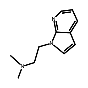 CN(C)CCn1ccc2c[c]cnc21